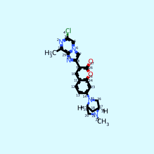 Cc1nc(Cl)cn2cc(-c3cc4ccc(N5C[C@@H]6C[C@H]5CN6C)cc4oc3=O)nc12